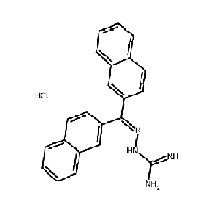 Cl.N=C(N)NN=C(c1ccc2ccccc2c1)c1ccc2ccccc2c1